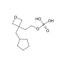 O=P(O)(O)OCCC1(CC2CCCC2)COC1